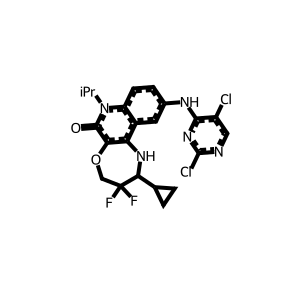 CC(C)n1c(=O)c2c(c3cc(Nc4nc(Cl)ncc4Cl)ccc31)NC(C1CC1)C(F)(F)CO2